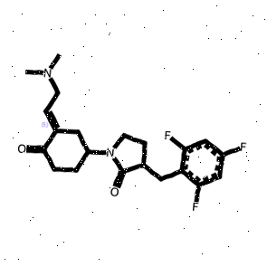 CN(C)C/C=C1\CC(N2CCC(Cc3c(F)cc(F)cc3F)C2=O)CCC1=O